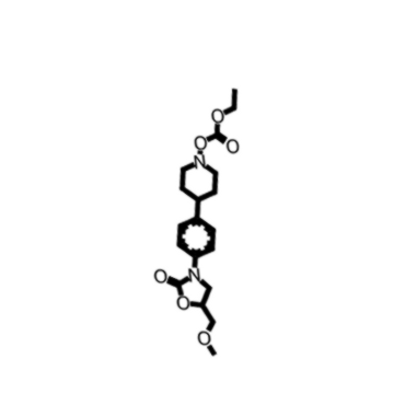 CCOC(=O)ON1CCC(c2ccc(N3CC(COC)OC3=O)cc2)CC1